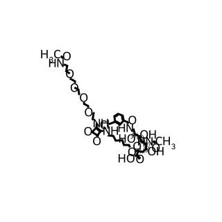 CC(=O)NCCOCCOCCOCCOCCNc1c(NCCCCCCO[C@]2(C(=O)O)C[C@H](O)[C@@H](NC(C)=O)[C@H]([C@H](O)[C@H](O)CNC(=O)c3cccc(Cl)c3)O2)c(=O)c1=O